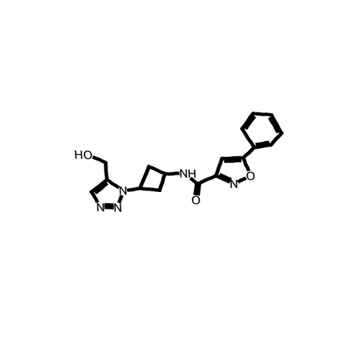 O=C(NC1CC(n2nncc2CO)C1)c1cc(-c2ccccc2)on1